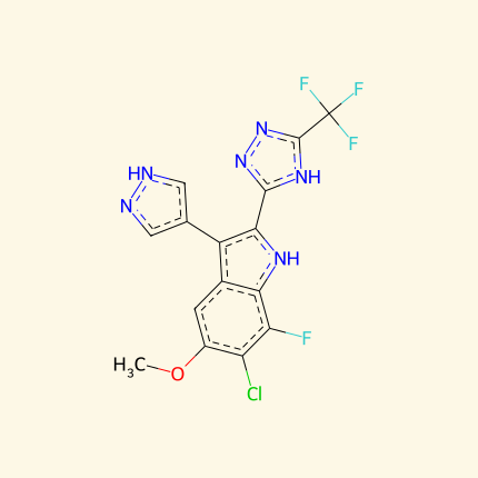 COc1cc2c(-c3cn[nH]c3)c(-c3nnc(C(F)(F)F)[nH]3)[nH]c2c(F)c1Cl